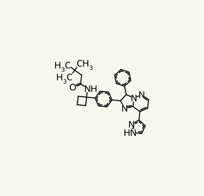 CC(C)(C)CC(=O)NC1(c2ccc(C3N=C4C(c5cc[nH]n5)=CC=NN4C3c3ccccc3)cc2)CCC1